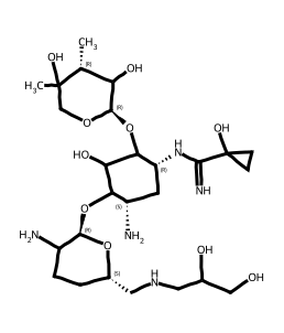 C[C@@H]1C(O)[C@@H](OC2C(O)C(O[C@H]3O[C@H](CNCC(O)CO)CCC3N)[C@@H](N)C[C@H]2NC(=N)C2(O)CC2)OCC1(C)O